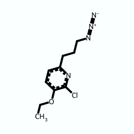 CCOc1ccc(CCCN=[N+]=[N-])nc1Cl